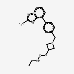 CCNOOC1CN(Cc2ccc(-c3cccn4nc(N)nc34)cc2)C1